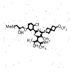 CNC[C@@H](O)COc1ccc(Cl)c(-c2nc(/C(C(C)=N)=C(\C)O)c(C)c(N3CC4(CC(OC(F)(F)F)C4)C3)n2)c1